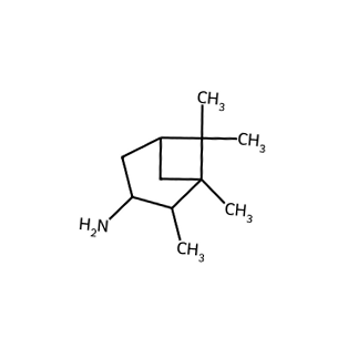 CC1C(N)CC2CC1(C)C2(C)C